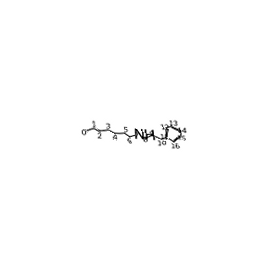 CCCCCCCNCCCc1ccccc1